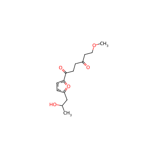 COCCC(=O)CCC(=O)c1ccc(CC(C)O)o1